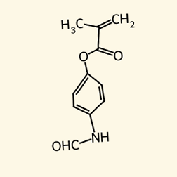 C=C(C)C(=O)Oc1ccc(NC=O)cc1